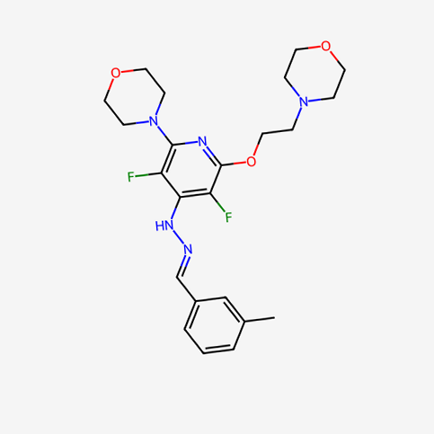 Cc1cccc(C=NNc2c(F)c(OCCN3CCOCC3)nc(N3CCOCC3)c2F)c1